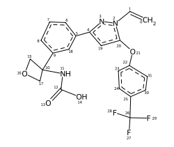 C=Cn1nc(-c2cccc(C3(NC(=O)O)COC3)c2)cc1Oc1ccc(C(F)(F)F)cc1